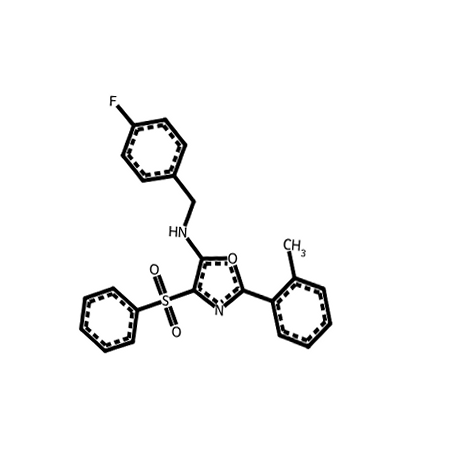 Cc1ccccc1-c1nc(S(=O)(=O)c2ccccc2)c(NCc2ccc(F)cc2)o1